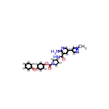 Cn1cc(-c2cnc(N)c(C(=O)N[C@@H]3CCN(C(=O)Oc4ccc(Oc5ccccc5)cc4)C3)c2)cn1